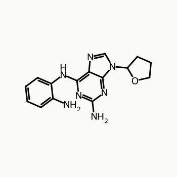 Nc1nc(Nc2ccccc2N)c2ncn(C3CCCO3)c2n1